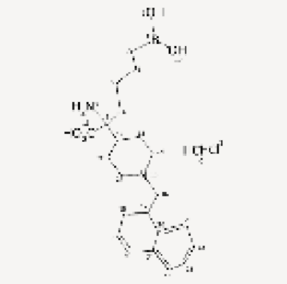 Cl.Cl.NC(CCCCB(O)O)(C(=O)O)C1CCN(Cc2cccc3ccccc23)CC1